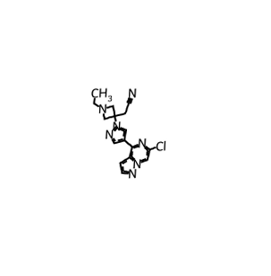 CCN1CC(CC#N)(n2cc(-c3nc(Cl)cn4nccc34)cn2)C1